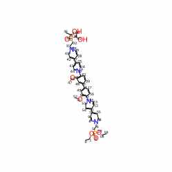 CCOP(=O)(CC[n+]1ccc(-c2cc[n+](-c3ccc(-c4ccc(-[n+]5ccc(-c6cc[n+](CCP(=O)(C(C)O)C(C)O)cc6)cc5)c(OC)c4)cc3OC)cc2)cc1)OCC